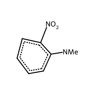 [CH2]Nc1ccccc1[N+](=O)[O-]